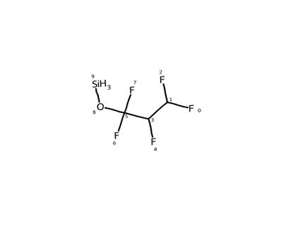 FC(F)C(F)C(F)(F)O[SiH3]